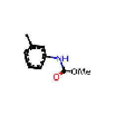 [CH2]OC(=O)Nc1cccc(C)c1